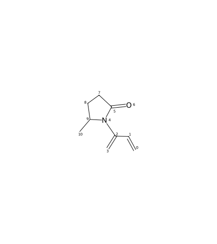 C=CC(=C)N1C(=O)CCC1C